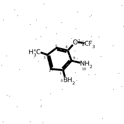 Bc1cc(C)cc(OC(F)(F)F)c1N